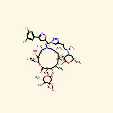 CC[C@H]1OC(=O)[C@H](C)[C@@H](O[C@H]2C[C@@](C)(OC)[C@@H](O)[C@H](C)O2)[C@H](C)[C@@H](O[C@@H]2O[C@H](C)C[C@H](N(C)CCc3cn(CC4CC(c5cc(Cl)cc(Cl)c5)=NO4)nn3)[C@H]2O)[C@](C)(O)C[C@@H](C)CN(C)[C@H](C)[C@@H](O)[C@]1(C)O